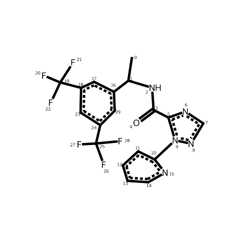 CC(NC(=O)c1ncnn1-c1ccccn1)c1cc(C(F)(F)F)cc(C(F)(F)F)c1